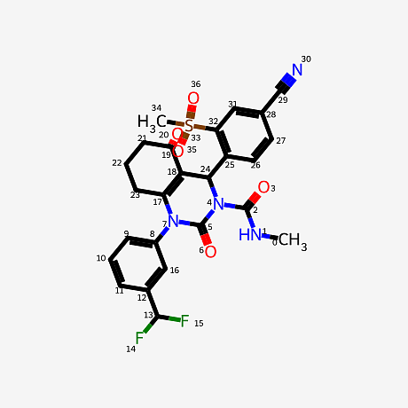 CNC(=O)N1C(=O)N(c2cccc(C(F)F)c2)C2=C(C(=O)CCC2)C1c1ccc(C#N)cc1S(C)(=O)=O